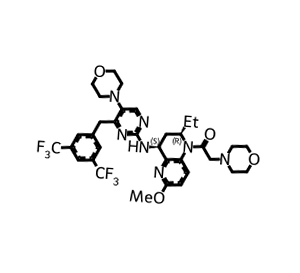 CC[C@@H]1C[C@H](Nc2ncc(N3CCOCC3)c(Cc3cc(C(F)(F)F)cc(C(F)(F)F)c3)n2)c2nc(OC)ccc2N1C(=O)CN1CCOCC1